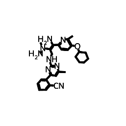 Cc1cc(-c2ccccc2C#N)nc(NC/C(=C(/N)c2ccc(OC3CCCCC3)c(C)n2)N(C)N)n1